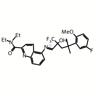 CCN(CC)C(=O)c1ccc2c(/N=C/C(O)(CC(C)(C)c3cc(F)ccc3OC)C(F)(F)F)cccc2n1